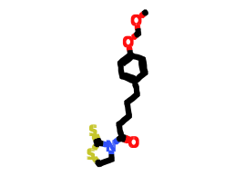 COCOc1ccc(CCCCC(=O)N2CCSC2=S)cc1